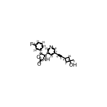 CC1(O)CC(C#Cc2cncc([C@H]3NC(=O)O[C@@H]3c3cccc(F)c3)c2)C1